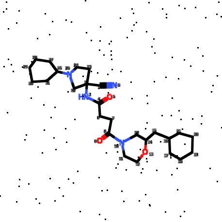 N#CC1(NC(=O)CCC(=O)N2CCOC(CC3CCCCC3)C2)CCN(C2CCCCC2)C1